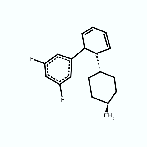 C[C@H]1CC[C@H](C2C=CC=CC2c2cc(F)cc(F)c2)CC1